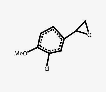 COc1ccc(C2CO2)cc1Cl